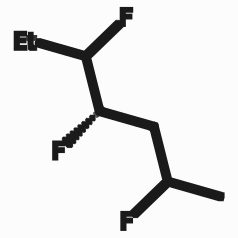 [CH2]CC(F)[C@@H](F)CC(C)F